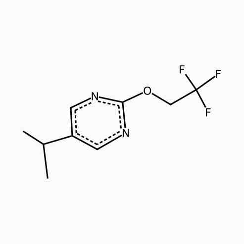 CC(C)c1cnc(OCC(F)(F)F)nc1